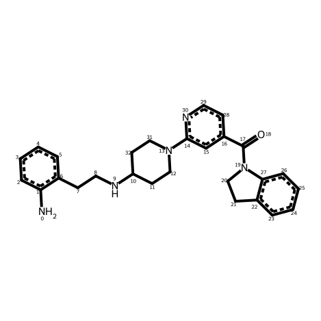 Nc1ccccc1CCNC1CCN(c2cc(C(=O)N3CCc4ccccc43)ccn2)CC1